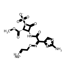 C=CCON=C(C(=O)N[C@H]1C(=O)N(S(=O)(=O)[O-])[C@H]1C(=O)OC)c1csc(N)n1.[Na+]